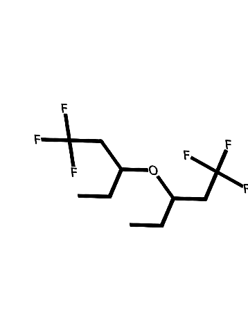 CCC(CC(F)(F)F)OC(CC)CC(F)(F)F